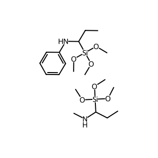 CCC(NC)[Si](OC)(OC)OC.CCC(Nc1ccccc1)[Si](OC)(OC)OC